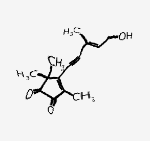 CC1=C(C#C/C(C)=C/CO)C(C)(C)C(=O)C1=O